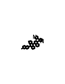 Cc1ccc2cc(-c3c4ccccc4c(-c4ccc(-c5cnccc5-c5ccncc5)c5ccccc45)c4ccccc34)ccc2c1